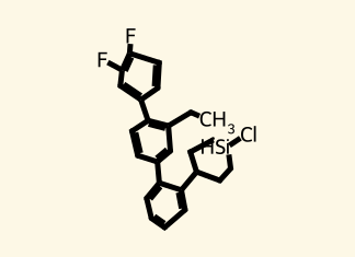 CCc1cc(-c2ccccc2C2CC[SiH](Cl)CC2)ccc1-c1ccc(F)c(F)c1